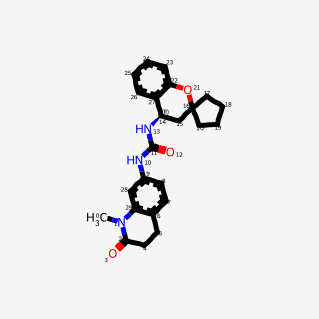 CN1C(=O)CCc2ccc(NC(=O)N[C@@H]3CC4(CCCC4)Oc4ccccc43)cc21